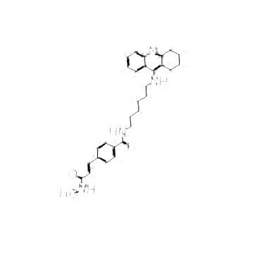 O=C(/C=C/c1ccc(C(=O)NCCCCCCNc2c3c(nc4ccccc24)CCCC3)cc1)NO